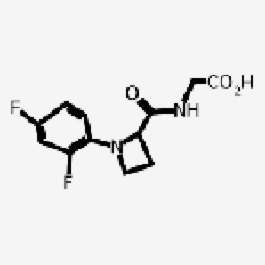 O=C(O)CNC(=O)C1CCN1c1ccc(F)cc1F